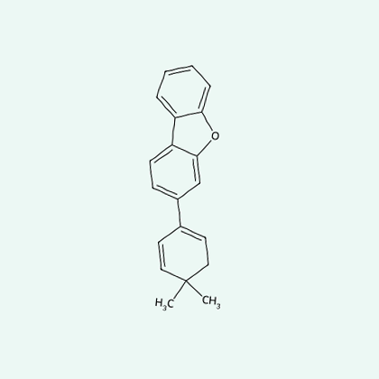 CC1(C)C=CC(c2ccc3c(c2)oc2ccccc23)=CC1